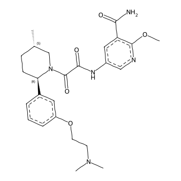 COc1ncc(NC(=O)C(=O)N2C[C@@H](C)CC[C@@H]2c2cccc(OCCN(C)C)c2)cc1C(N)=O